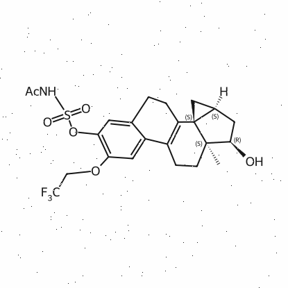 CC(=O)NS(=O)(=O)Oc1cc2c(cc1OCC(F)(F)F)C1=C(CC2)[C@]23C[C@H]2C[C@@H](O)[C@@]3(C)CC1